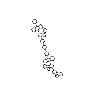 c1ccc(-c2c3ccccc3c(-c3ccc(-c4ccc(-c5ccc(-c6ccc(-c7c8ccccc8c(-c8ccc(-c9ccc%10oc%11ccccc%11c%10c9)c9oc%10ccccc%10c89)c8ccccc78)cc6)cc5)cc4)c4sc5ccccc5c34)c3ccccc23)cc1